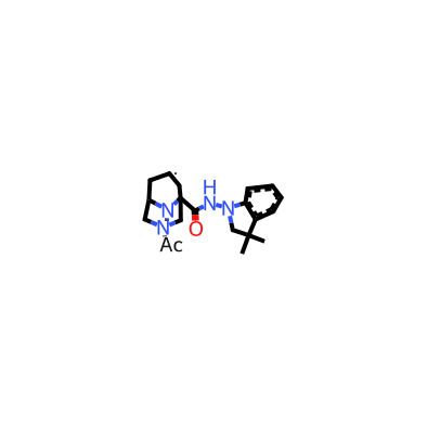 CC(=O)N1CC2C[CH]CC(C(=O)NN3CC(C)(C)c4ccccc43)(C1)N2C